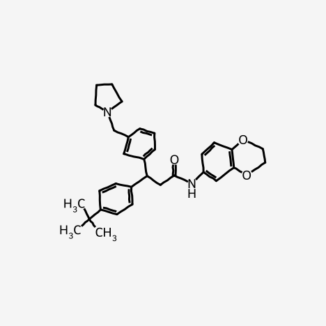 CC(C)(C)c1ccc(C(CC(=O)Nc2ccc3c(c2)OCCO3)c2cccc(CN3CCCC3)c2)cc1